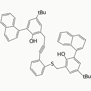 CC(C)(C)c1cc(CC#Cc2ccccc2SCc2cc(C(C)(C)C)cc(-c3cccc4ccccc34)c2O)c(O)c(-c2cccc3ccccc23)c1